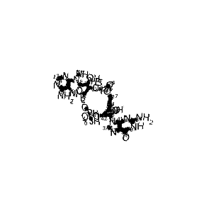 CO[PH]1(S)OCC2OC(N(N)c3ncnc(N)c3N)C(O)C2OP(=O)(S)OCC2OC(n3cnc4c(=O)[nH]c(N)nc43)C(O1)C2O